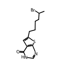 CC(Br)CCCCc1cc2c(=O)[nH]cnc2s1